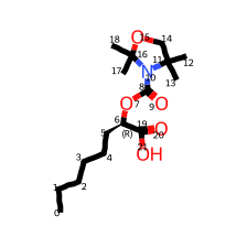 CCCCCC[C@@H](OC(=O)N1C(C)(C)COC1(C)C)C(=O)O